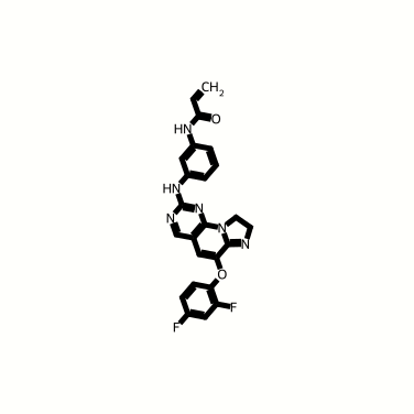 C=CC(=O)Nc1cccc(Nc2ncc3c(n2)N2CCN=C2C(Oc2ccc(F)cc2F)=C3)c1